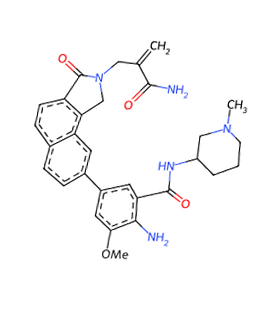 C=C(CN1Cc2c(ccc3ccc(-c4cc(OC)c(N)c(C(=O)NC5CCCN(C)C5)c4)cc23)C1=O)C(N)=O